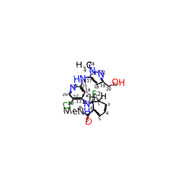 [2H]C1(F)C=CC=C(C(=O)NC)C1([2H])Nc1cc(Nc2cc(CO)nn2C)ncc1Cl